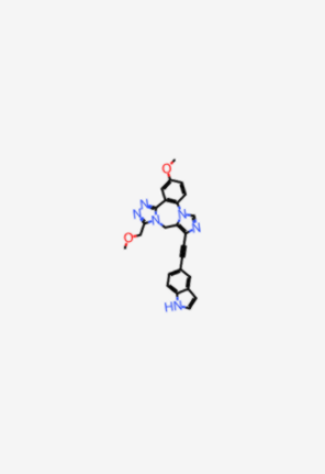 COCc1nnc2n1Cc1c(C#Cc3ccc4[nH]ccc4c3)ncn1-c1ccc(OC)cc1-2